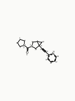 O=C(N1CCCC1)N1CC2CC2(C#Cc2ccccn2)C1